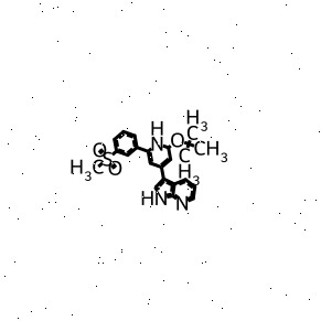 CC(C)(C)OC1C=C(c2c[nH]c3ncccc23)C=C(c2cccc(S(C)(=O)=O)c2)N1